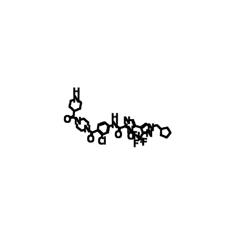 Cn1c(-c2cn(CC3CCCC3)nc2C(F)(F)F)cnc1C(=O)Nc1ccc(C(=O)N2CCN(C(=O)C3CCNCC3)CC2)c(Cl)c1